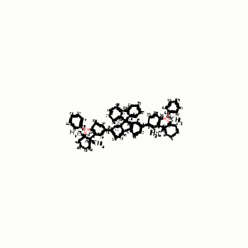 CC12CCCCC1(C)c1cc(-c3ccc4c(c3)C3(c5ccccc5-c5ccccc53)c3cc(-c5ccc6c(c5)C5(C)CCCCC5(C)B6c5ccccc5)ccc3-4)ccc1B2c1ccccc1